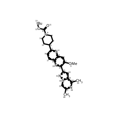 COc1cc2nc(C3CCN(C(=O)OC(C)(C)C)CC3)ccc2nc1-c1cc2c(C)nc(C)cn2n1